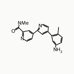 CNC(=O)c1cc(-c2cc(-c3cc(N)ccc3C)ccn2)ccn1